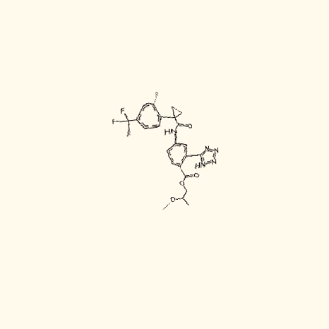 COC(C)COC(=O)c1ccc(NC(=O)C2(c3ccc(C(F)(F)F)cc3F)CC2)cc1-c1nnn[nH]1